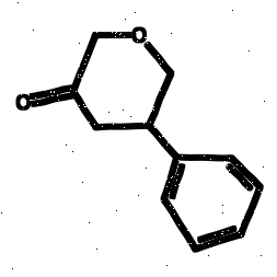 O=C1COCC(c2ccccc2)C1